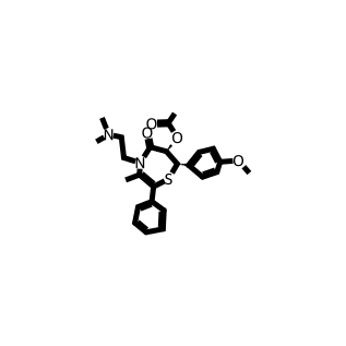 COc1ccc([C@@H]2SC(c3ccccc3)=C(C)N(CCN(C)C)C(=O)[C@@H]2OC(C)=O)cc1